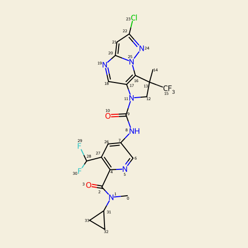 CN(C(=O)c1ncc(NC(=O)N2CC(C)(C(F)(F)F)c3c2cnc2cc(Cl)nn32)cc1C(F)F)C1CC1